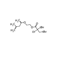 C=C(C)CC(=C)OCCOC(=O)C(CC)(CC(C)(C)C)C(C)(C)C